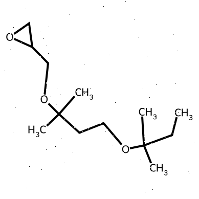 CCC(C)(C)OCCC(C)(C)OCC1CO1